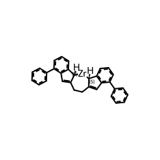 C1=C2CCC3=Cc4c(-c5ccccc5)cccc4[C@H]3[Zr][C@H]2c2cccc(-c3ccccc3)c21